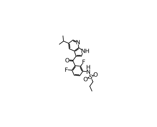 CCCS(=O)(=O)Nc1ccc(F)c(C(=O)c2c[nH]c3ncc(C(C)C)cc23)c1F